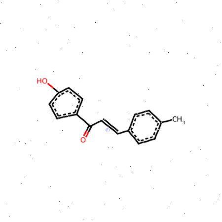 Cc1ccc(/C=C/C(=O)c2ccc(O)cc2)cc1